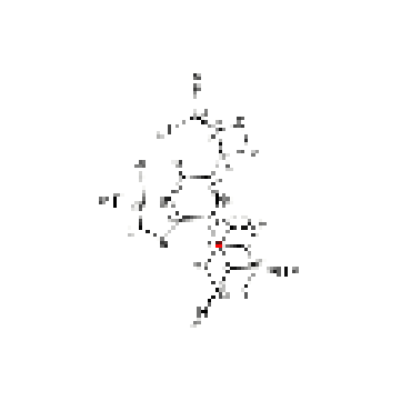 O=C(O)CC1[C@@H]2C[C@H]1CN(c1nc(N3CC[C@@H]3C(F)F)nc3c1CCC3(F)F)C2